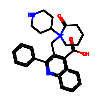 O=C(O)c1c(C[N+]2(C3CCNCC3)CCCCC2=O)c(-c2ccccc2)nc2ccccc12